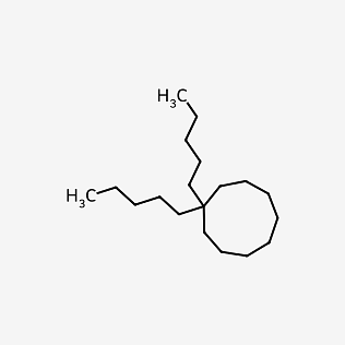 CCCCCC1(CCCCC)CCCCCCCC1